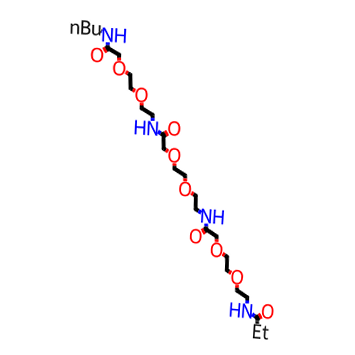 CCCCNC(=O)COCCOCCNC(=O)COCCOCCNC(=O)COCCOCCNC(=O)CC